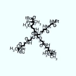 CCCCC(C)(C)NC(=O)CCNC(=O)CCOCC(COCCC(=O)NCCC(=O)NCC)(COCCC(=O)NCCC(=O)NC(C)(C)CC)NC(=O)CCC(C)CC(C)(C(=O)C(C)(C)C)C(C)C